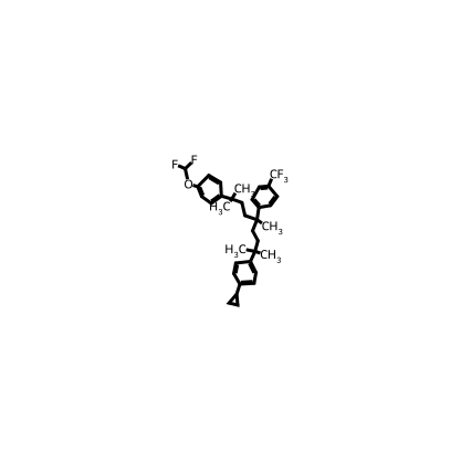 CC(C)(CCC(C)(CCC(C)(C)c1ccc(C2CC2)cc1)c1ccc(C(F)(F)F)cc1)c1ccc(OC(F)F)cc1